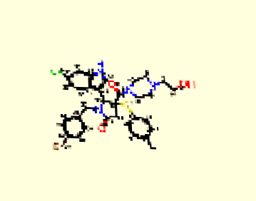 Cc1ccc(SC2(C(=O)N3CCN(CCO)CC3)CC(=O)N(Cc3ccc(Br)cc3)C2c2c[nH]c3cc(Cl)ccc23)cc1